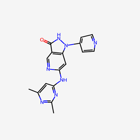 Cc1cc(Nc2cc3c(cn2)c(=O)[nH]n3-c2ccncc2)nc(C)n1